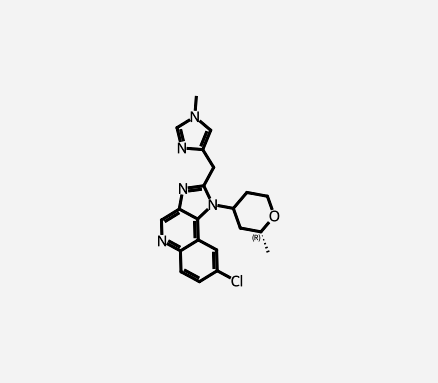 C[C@@H]1CC(n2c(Cc3cn(C)cn3)nc3cnc4ccc(Cl)cc4c32)CCO1